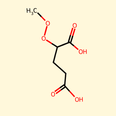 COOC(CCC(=O)O)C(=O)O